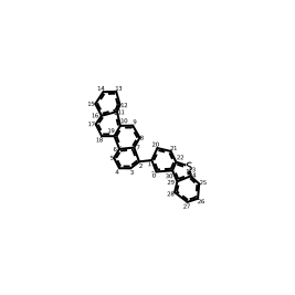 [c]1c(-c2cccc3c2ccc2c4ccccc4ccc32)ccc2sc3ccccc3c12